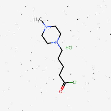 CN1CCN(CCCCC(=O)Cl)CC1.Cl